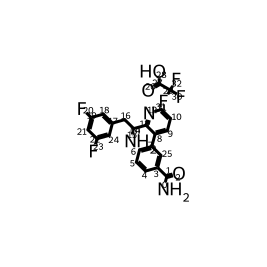 NC(=O)c1cccc(-c2cccnc2[C@@H](N)Cc2cc(F)cc(F)c2)c1.O=C(O)C(F)(F)F